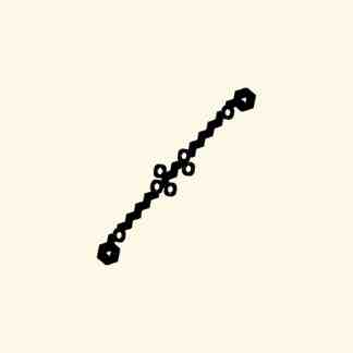 O=C(CCC(=O)C(=O)OCCCCCCCCOCc1ccccc1)OCCCCCCCCOCc1ccccc1